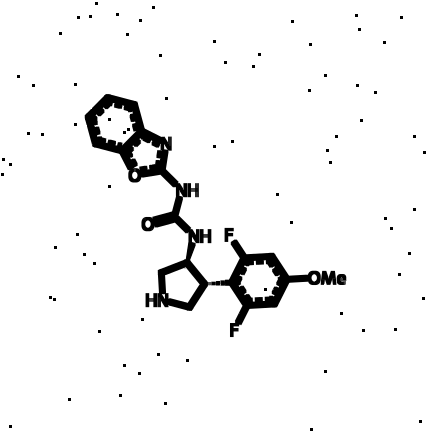 COc1cc(F)c([C@@H]2CNC[C@H]2NC(=O)Nc2nc3ccccc3o2)c(F)c1